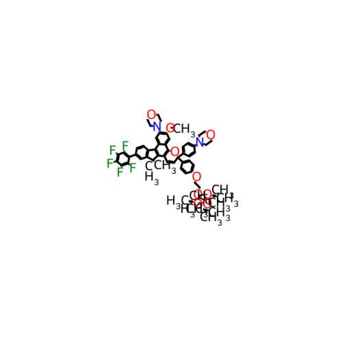 COc1cc2c3c(c4c(c2cc1N1CCOCC1)-c1ccc(-c2c(F)c(F)c(F)c(F)c2F)cc1C4(C)C)C=CC(c1ccc(OCCO[Si](OC(C)(C)C)(OC(C)(C)C)OC(C)(C)C)cc1)(c1ccc(N2CCOCC2)cc1)O3